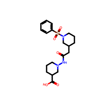 O=C(CC1CCCN(S(=O)(=O)c2ccccc2)C1)NN1CCCC(C(=O)O)C1